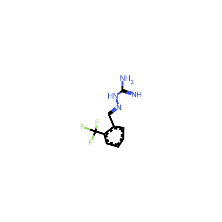 N=C(N)N/N=C/c1ccccc1C(F)(F)F